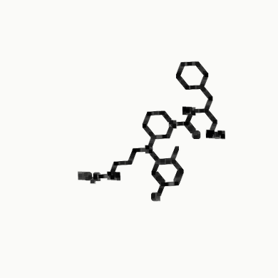 CNCC(CC1CCCCC1)NC(=O)N1CCCC(N(CCCNC(=O)O)c2cc(Cl)ccc2C)C1